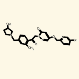 Cc1cc(CN2CCC(O)C2)ccc1C(=O)Cn1ncc(OCc2ccc(Br)cn2)cc1=O